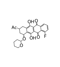 CC(=O)C1Cc2c(O)c3c(c(O)c2[C@@H](OC2CCCCO2)C1)C(=O)c1c(F)cccc1C3=O